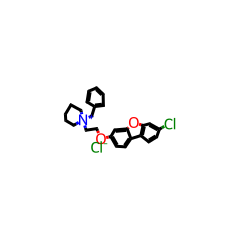 Clc1ccc2c(c1)oc1cc(OCC[N+]3(Cc4ccccc4)CCCCC3)ccc12.[Cl-]